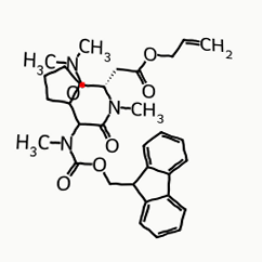 C=CCOC(=O)C[C@@H](C(=O)N(C)C)N(C)C(=O)C(C1CCCC1)N(C)C(=O)OCC1c2ccccc2-c2ccccc21